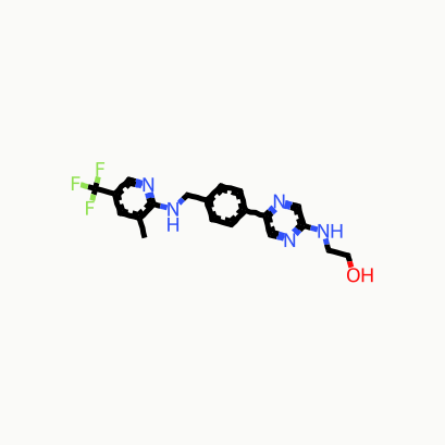 Cc1cc(C(F)(F)F)cnc1NCc1ccc(-c2cnc(NCCO)cn2)cc1